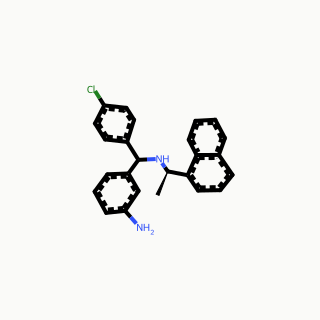 C[C@@H](NC(c1ccc(Cl)cc1)c1cccc(N)c1)c1cccc2ccccc12